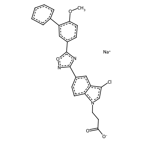 COc1ccc(-c2nc(-c3ccc4c(c3)c(Cl)cn4CCC(=O)[O-])no2)cc1-c1ccccc1.[Na+]